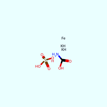 NC(=O)O.O=S(=O)(O)O.[Fe].[KH].[KH]